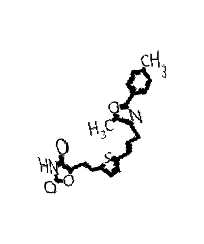 Cc1ccc(-c2nc(CC=Cc3ccc(CCC4OC(=O)NC4=O)s3)c(C)o2)cc1